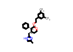 Cc1c[nH]c(C[C@@H]2CCO[C@H](OCCc3cc(C(F)(F)F)cc(C(F)(F)F)c3)[C@H]2c2ccccc2)n1